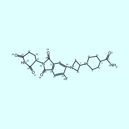 NC(=O)C1CCN(C2CN(c3cc4c(cc3F)C(=O)N(C3CCC(=O)NC3=O)C4=O)C2)CC1